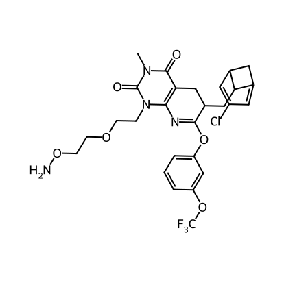 Cn1c(=O)c2c(n(CCOCCON)c1=O)N=C(Oc1cccc(OC(F)(F)F)c1)C(CC1C3=CC(Cl)=CC1C3)C2